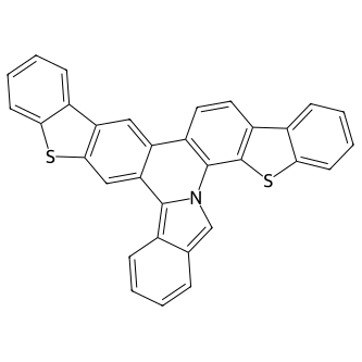 c1ccc2c(c1)cn1c2c2cc3sc4ccccc4c3cc2c2ccc3c4ccccc4sc3c21